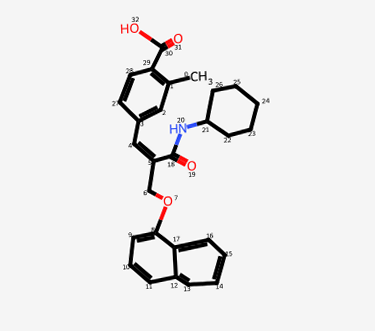 Cc1cc(C=C(COc2cccc3ccccc23)C(=O)NC2CCCCC2)ccc1C(=O)O